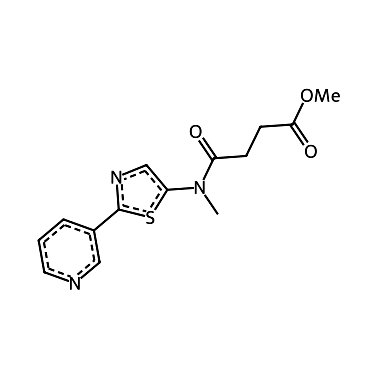 COC(=O)CCC(=O)N(C)c1cnc(-c2cccnc2)s1